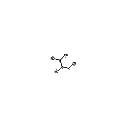 N#CCC(C#N)C(C#N)C#N